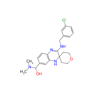 CN(C)C(O)c1ccc2c(c1)NC1(CCOCC1)C(NCc1cccc(Cl)c1)=N2